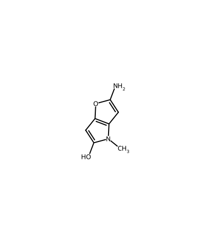 Cn1c(O)cc2oc(N)cc21